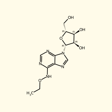 CCONc1ncnc2c1ncn2[C@@H]1O[C@H](CO)[C@@H](O)[C@H]1O